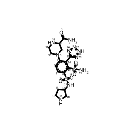 NC(=O)C1CN(c2ccc(S(=O)(=O)NC3CCNC3)c(S(N)(=O)=O)c2-c2nn[nH]n2)CCN1